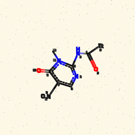 CCC(=O)Nc1ncc([N+](=O)[O-])c(=O)n1C